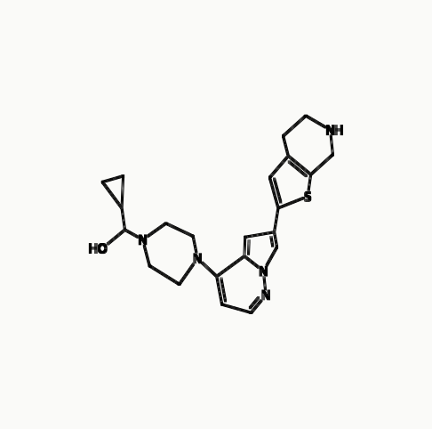 OC(C1CC1)N1CCN(c2ccnn3cc(-c4cc5c(s4)CNCC5)cc23)CC1